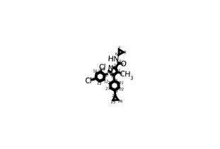 Cc1c(C(=O)NC2CC2)nn(-c2ccc(Cl)cc2Cl)c1-c1ccc(C2CC2)cc1